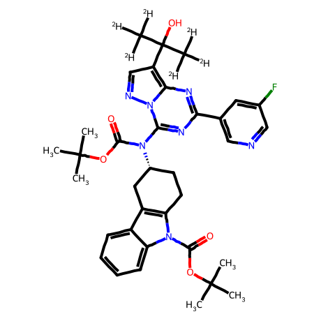 [2H]C([2H])([2H])C(O)(c1cnn2c(N(C(=O)OC(C)(C)C)[C@@H]3CCc4c(c5ccccc5n4C(=O)OC(C)(C)C)C3)nc(-c3cncc(F)c3)nc12)C([2H])([2H])[2H]